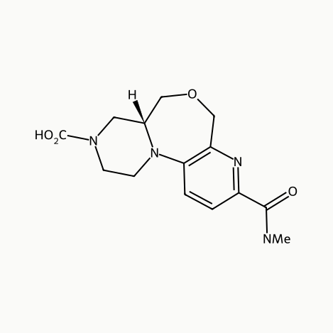 CNC(=O)c1ccc2c(n1)COC[C@H]1CN(C(=O)O)CCN21